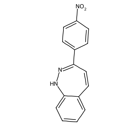 O=[N+]([O-])c1ccc(C2=NNc3ccccc3C=C2)cc1